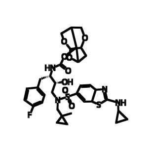 CC1(CN(C[C@@H](O)[C@H](Cc2ccc(F)cc2)NC(=O)OC2C3COC4CC2OC4OC3)S(=O)(=O)C2=CC3SC(NC4CC4)=NC3C=C2)CC1